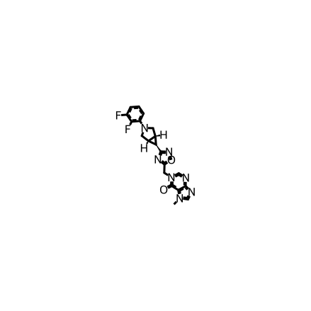 Cn1cnc2ncn(Cc3nc([C@H]4[C@@H]5CN(c6cccc(F)c6F)C[C@@H]54)no3)c(=O)c21